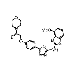 COc1cccc2sc(Nc3nnc(-c4ccc(OCC(=O)N5CCOCC5)cc4)o3)nc12